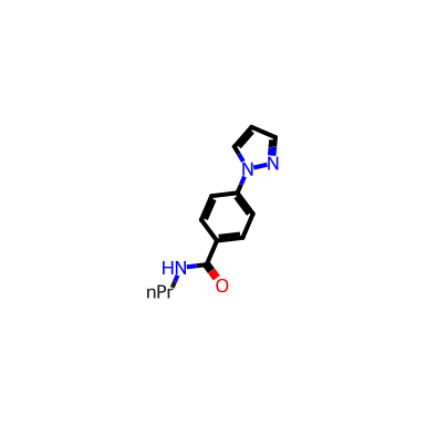 CCCNC(=O)c1ccc(-n2cccn2)cc1